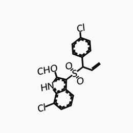 C=CC(c1ccc(Cl)cc1)S(=O)(=O)c1c(C=O)[nH]c2c(Cl)cccc12